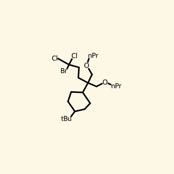 CCCOCC(CCC(Cl)(Cl)Br)(COCCC)C1CCC(C(C)(C)C)CC1